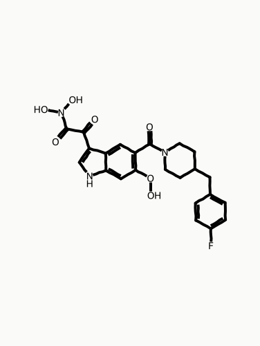 O=C(C(=O)N(O)O)c1c[nH]c2cc(OO)c(C(=O)N3CCC(Cc4ccc(F)cc4)CC3)cc12